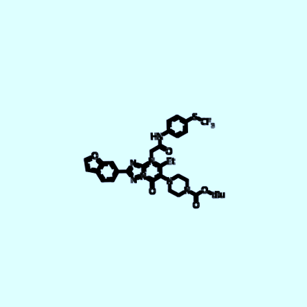 CCc1c(N2CCN(C(=O)OC(C)(C)C)CC2)c(=O)n2nc(-c3ccc4ccoc4c3)nc2n1CC(=O)Nc1ccc(SC(F)(F)F)cc1